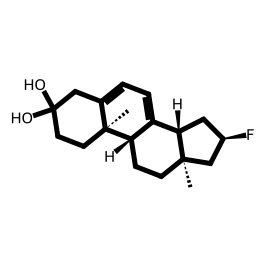 C[C@]12CC[C@H]3C(=CC=C4CC(O)(O)CC[C@@]43C)[C@@H]1C[C@@H](F)C2